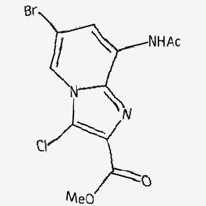 COC(=O)c1nc2c(NC(C)=O)cc(Br)cn2c1Cl